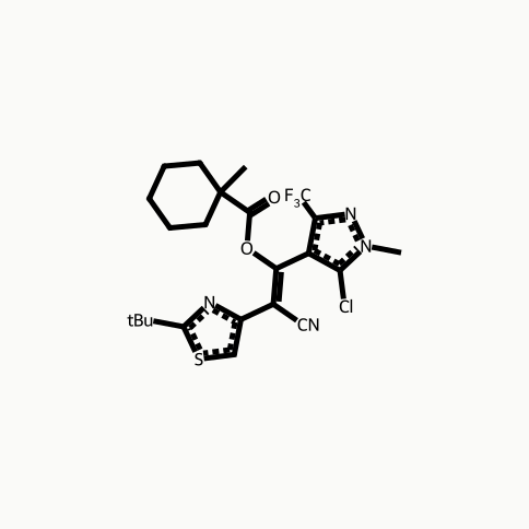 Cn1nc(C(F)(F)F)c(/C(OC(=O)C2(C)CCCCC2)=C(\C#N)c2csc(C(C)(C)C)n2)c1Cl